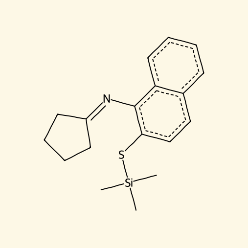 C[Si](C)(C)Sc1ccc2ccccc2c1N=C1CCCC1